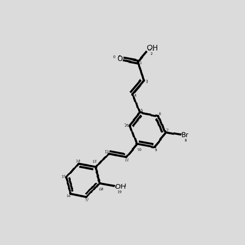 O=C(O)C=Cc1cc(Br)cc(C=Cc2ccccc2O)c1